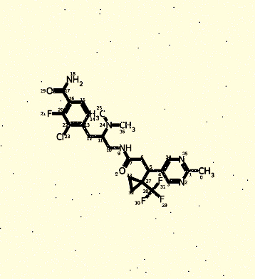 Cc1ncc(C(CC(=O)NCC(Cc2ccc(C(N)=O)c(F)c2Cl)N(C)C)C2(C(F)(F)F)CC2)cn1